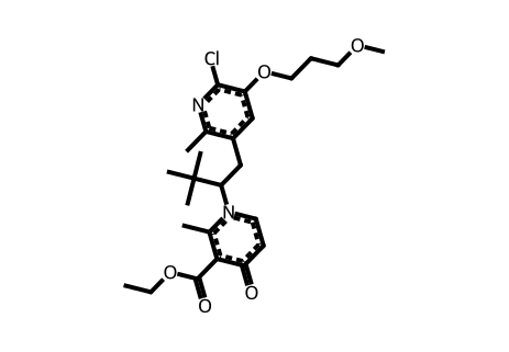 CCOC(=O)c1c(C)n(C(Cc2cc(OCCCOC)c(Cl)nc2C)C(C)(C)C)ccc1=O